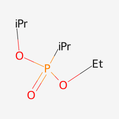 CCOP(=O)(OC(C)C)C(C)C